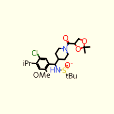 COc1cc(C(C)C)c(Cl)cc1C(N[S@@+]([O-])C(C)(C)C)C1CCN(C(=O)C2COC(C)(C)O2)CC1